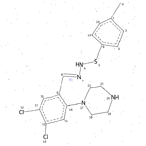 Cc1ccc(SN/N=C/c2cc(Cl)c(Cl)cc2N2CCNCC2)cc1